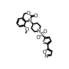 COc1cccc2c1N(C1CCN(S(=O)(=O)c3ccc(-c4ccno4)s3)CC1)C(=O)OC2